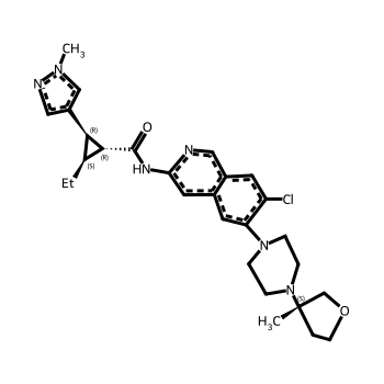 CC[C@@H]1[C@@H](C(=O)Nc2cc3cc(N4CCN([C@@]5(C)CCOC5)CC4)c(Cl)cc3cn2)[C@@H]1c1cnn(C)c1